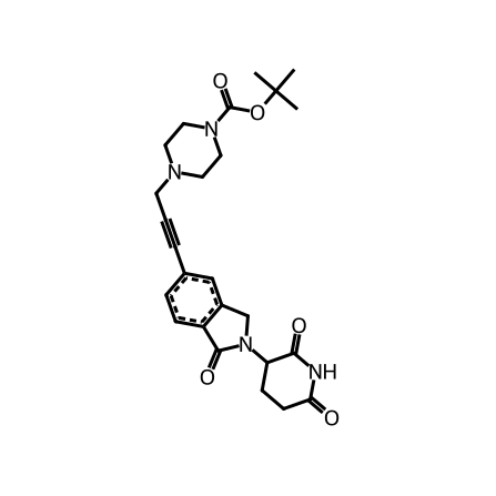 CC(C)(C)OC(=O)N1CCN(CC#Cc2ccc3c(c2)CN(C2CCC(=O)NC2=O)C3=O)CC1